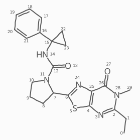 CCc1nc2sc(C3CCCN3C(=O)NC3(c4ccccc4)CC3)nc2c(=O)n1C